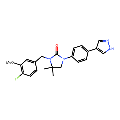 COc1cc(CN2C(=O)N(c3ccc(-c4cn[nH]c4)cc3)CC2(C)C)ccc1F